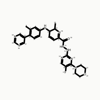 Cc1cc(NC2C=CC(C(=O)NNc3ncc(F)c(N4CCOCC4)n3)=NC2C)ccc1-c1cncnc1